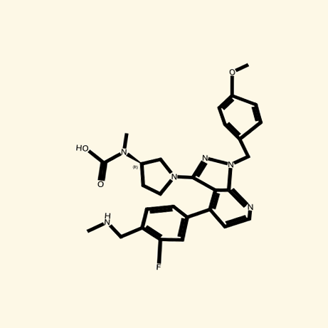 CNCc1ccc(-c2ccnc3c2c(N2CC[C@@H](N(C)C(=O)O)C2)nn3Cc2ccc(OC)cc2)cc1F